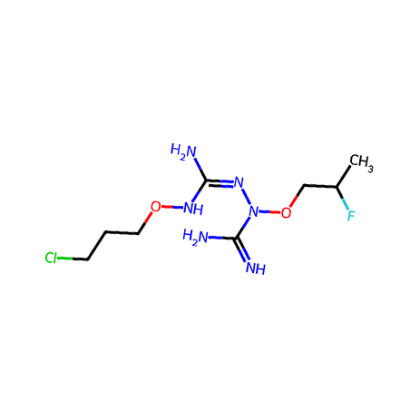 CC(F)CON(N=C(N)NOCCCCl)C(=N)N